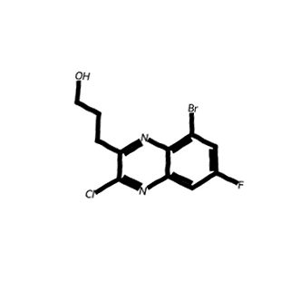 OCCCc1nc2c(Br)cc(F)cc2nc1Cl